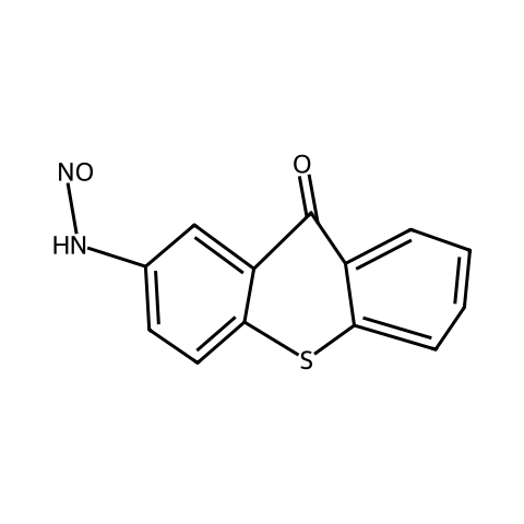 O=NNc1ccc2sc3ccccc3c(=O)c2c1